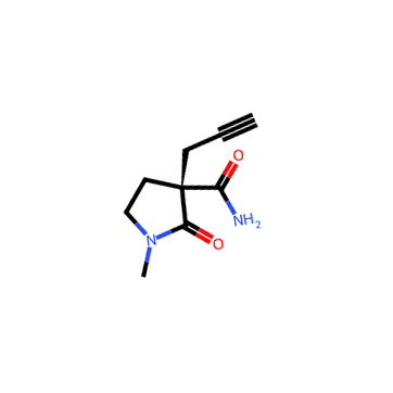 C#CC[C@]1(C(N)=O)CCN(C)C1=O